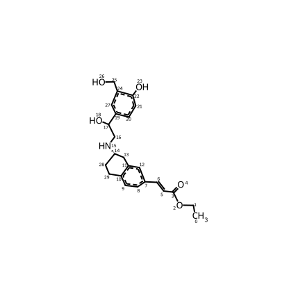 CCOC(=O)/C=C/c1ccc2c(c1)C[C@@H](NCC(O)c1ccc(O)c(CO)c1)CC2